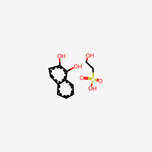 O=S(=O)(O)CCO.Oc1ccc2ccccc2c1O